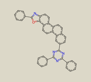 c1ccc(-c2nc(-c3ccccc3)nc(-c3ccc4ccc5c(ccc6c5ccc5nc(-c7ccccc7)oc56)c4c3)n2)cc1